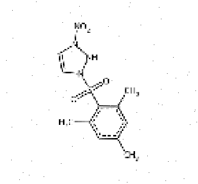 Cc1cc(C)c(S(=O)(=O)N2C=CN([N+](=O)[O-])N2)c(C)c1